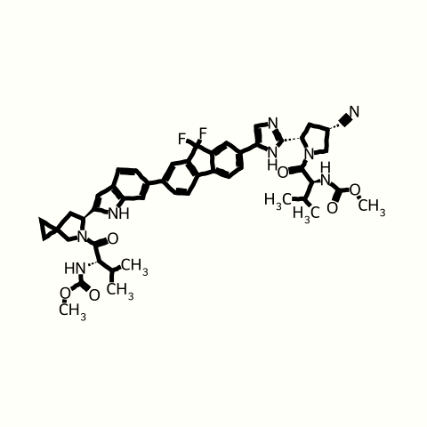 COC(=O)N[C@H](C(=O)N1CC2(CC2)C[C@H]1c1cc2ccc(-c3ccc4c(c3)C(F)(F)c3cc(-c5cnc([C@@H]6C[C@H](C#N)CN6C(=O)[C@@H](NC(=O)OC)C(C)C)[nH]5)ccc3-4)cc2[nH]1)C(C)C